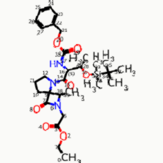 CCOC(=O)CN1C(=O)C2(CCCN2C(=O)[C@@H](NC(=O)OCc2ccccc2)[C@@H](C)O[Si](C)(C)C(C)(C)C)C1C